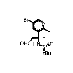 CC(C)(C)[S+]([O-])N[C@@](C)(CC=O)c1cc(Br)cnc1F